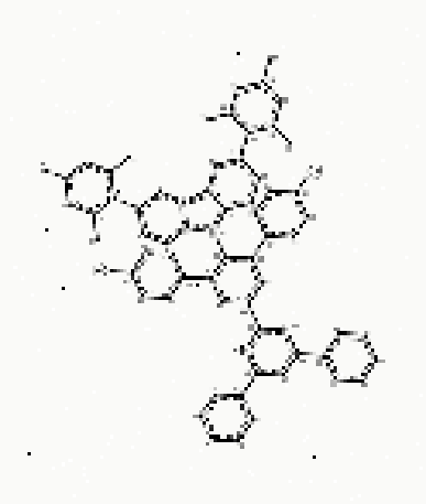 Cc1cc(C)c(-c2ccc3c(c2)c2cc(-c4c(C)cc(C)cc4C)ccc2n3-c2c(-c3ccc(C#N)cc3)cc(-c3nc(-c4ccccc4)cc(-c4ccccc4)n3)cc2-c2ccc(C#N)cc2)c(C)c1